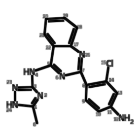 Cc1nc(Nc2nc(-c3ccc(N)cc3Cl)nc3ccccc23)n[nH]1